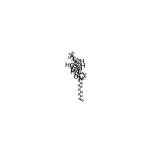 C=CCCCCCCCCN1CCCC[C@H](NC(=O)[C@H](OC)[C@H](O)[C@@H](O)[C@H](O)/C=C/C(C)(C)C)C1=O